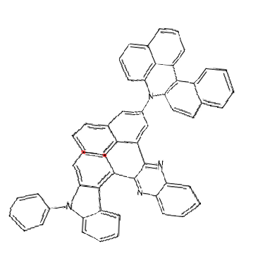 c1ccc(-n2c3ccccc3c3c(-c4nc5ccccc5nc4-c4cc(N5c6ccc7ccccc7c6-c6cccc7cccc5c67)cc5ccccc45)cccc32)cc1